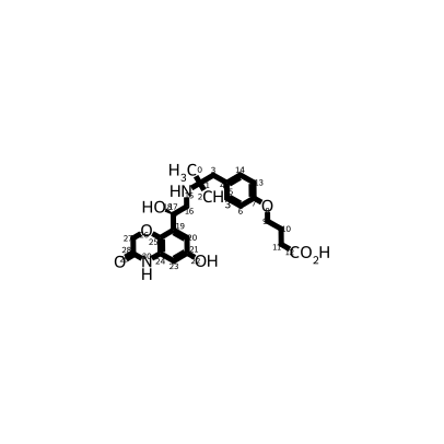 CC(C)(Cc1ccc(OCCCC(=O)O)cc1)NC[C@H](O)c1cc(O)cc2c1OCC(=O)N2